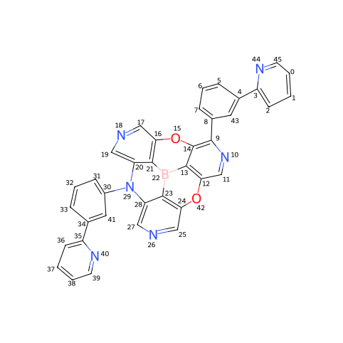 c1ccc(-c2cccc(-c3ncc4c5c3Oc3cncc6c3B5c3c(cncc3N6c3cccc(-c5ccccn5)c3)O4)c2)nc1